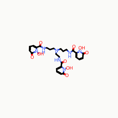 O=C(NCCCN(CCCNC(=O)c1cccc(=O)n1O)CCNC(=O)c1cccc(=O)n1O)c1cccc(=O)n1O